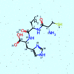 CC[C@@H](NC(=O)[C@@H](N)CS)C(=O)N[C@@H](Cc1c[nH]cn1)C(=O)O